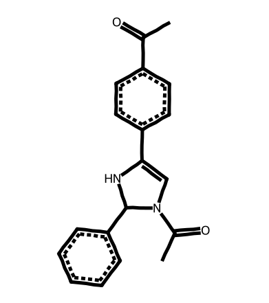 CC(=O)c1ccc(C2=CN(C(C)=O)C(c3ccccc3)N2)cc1